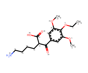 CCOc1c(OC)cc(C(=O)C(CCCCN)C(=O)O)cc1OC